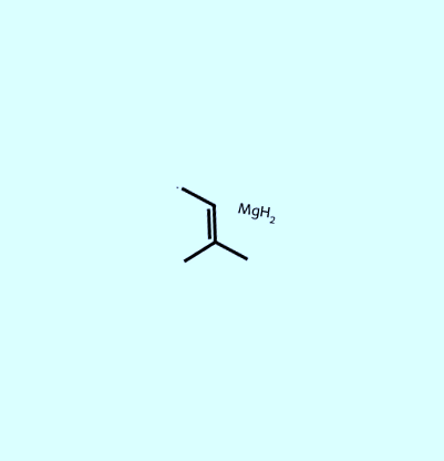 [CH2]C=C(C)C.[MgH2]